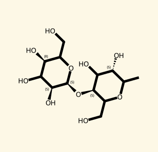 CC1OC(CO)[C@@H](O[C@@H]2OC(CO)[C@H](O)C(O)[C@@H]2O)C(O)[C@@H]1O